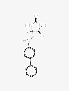 CC1(CNc2ccc(-c3ccccc3)cc2)NC(=O)NC1=O